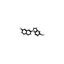 O=C1C=C2C=C(N3CCc4cc(S)ccc43)CCC2CC1